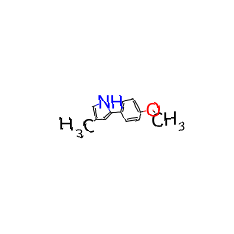 COc1ccc(-c2cc(C)c[nH]2)cc1